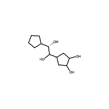 OC1CN(C(O)[C@@H](O)N2CCCC2)CC1O